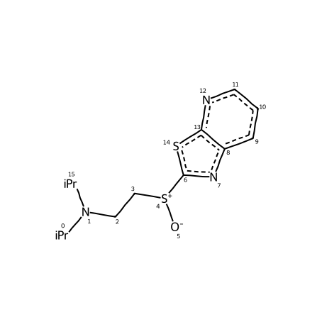 CC(C)N(CC[S+]([O-])c1nc2cccnc2s1)C(C)C